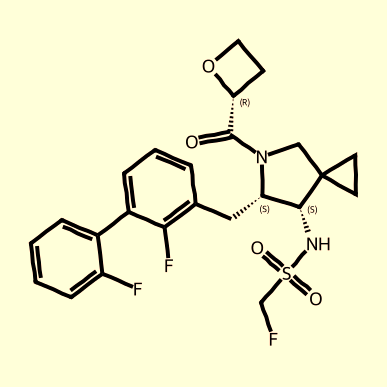 O=C([C@H]1CCO1)N1CC2(CC2)[C@H](NS(=O)(=O)CF)[C@@H]1Cc1cccc(-c2ccccc2F)c1F